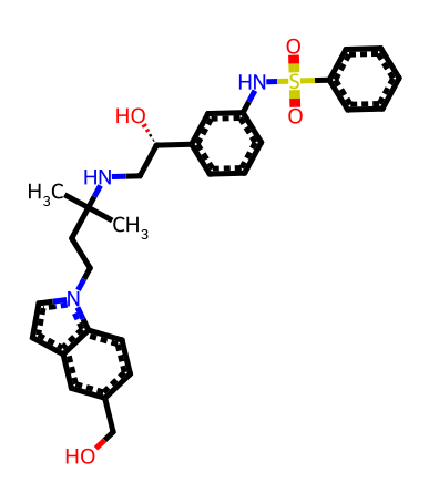 CC(C)(CCn1ccc2cc(CO)ccc21)NC[C@H](O)c1cccc(NS(=O)(=O)c2ccccc2)c1